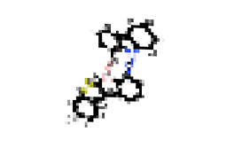 c1cc2c3c(c1)-n1c4c(c5cccc(c51)B3c1sc3ccccc3c1-2)CCCC4